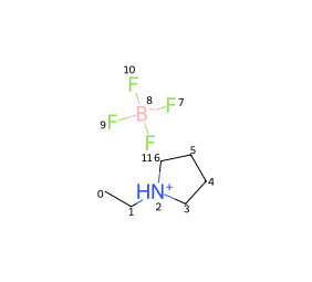 CC[NH+]1CCCC1.F[B-](F)(F)F